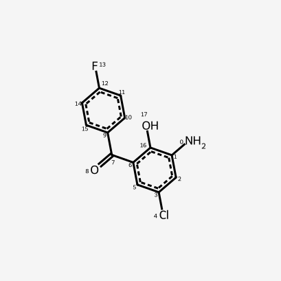 Nc1cc(Cl)cc(C(=O)c2ccc(F)cc2)c1O